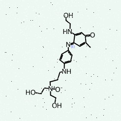 CC1=C/C(=N\c2ccc(NCCC[N+]([O-])(CCO)CCO)cc2)C(NCCO)=CC1=O